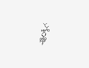 CC(C)CC(C)C(=O)Nc1ccc(S(=O)(=O)C(F)(F)F)cc1